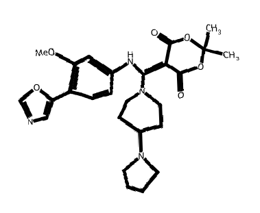 COc1cc(NC(=C2C(=O)OC(C)(C)OC2=O)N2CCC(N3CCCC3)CC2)ccc1-c1cnco1